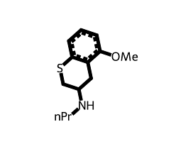 CCCNC1CSc2cccc(OC)c2C1